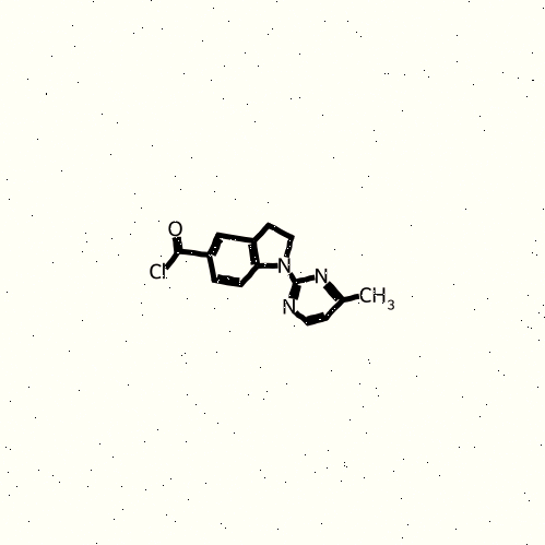 Cc1ccnc(N2CCc3cc(C(=O)Cl)ccc32)n1